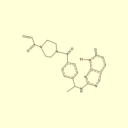 C=CC(=O)N1CCN(C(=O)c2ccc(C(C)Nc3ncc4ccc(=O)n(CC)c4n3)cc2)CC1